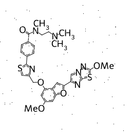 COc1cc(OCc2csc(-c3ccc(C(=O)N(C)CCN(C)C)cc3)n2)c2cc(-c3cn4nc(OC)sc4n3)oc2c1